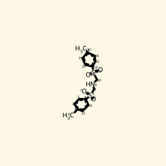 Cc1ccc(S(=O)(=O)CNCS(=O)(=O)c2ccc(C)cc2)cc1